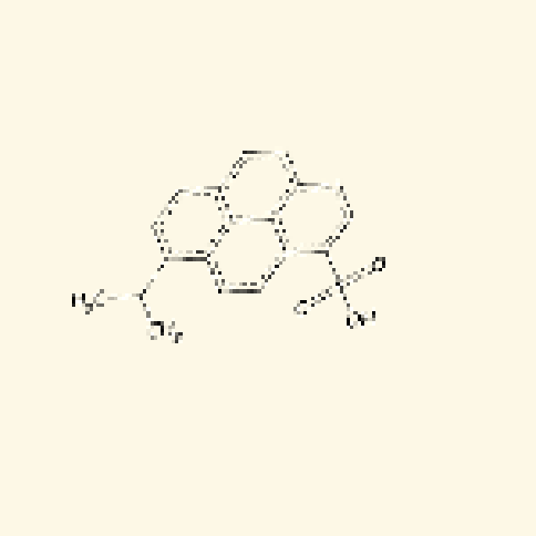 CC(C)c1ccc2ccc3ccc(S(=O)(=O)O)c4ccc1c2c34